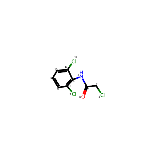 O=C(CCl)Nc1c(Cl)cccc1Cl